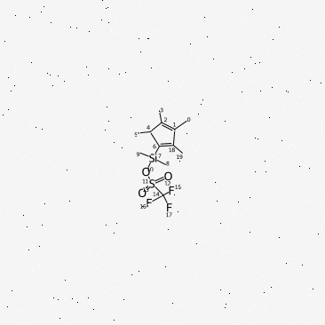 CC1=C(C)C(C)C([Si](C)(C)OS(=O)(=O)C(F)(F)F)=C1C